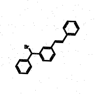 BrC(c1ccccc1)c1cccc(C=Cc2ccccc2)c1